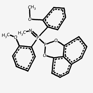 CN=P(c1ccccc1OC)(c1ccccc1OC)P1Oc2cccc3cccc(c23)O1